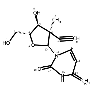 C#C[C@]1(C)[C@H](O)[C@@H](CO)O[C@H]1N1C=CC(=C)NC1=O